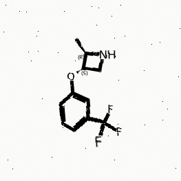 C[C@H]1NC[C@@H]1Oc1cccc(C(F)(F)F)c1